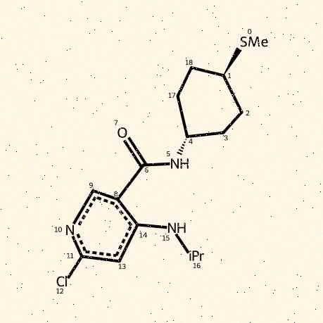 CS[C@H]1CC[C@H](NC(=O)c2cnc(Cl)cc2NC(C)C)CC1